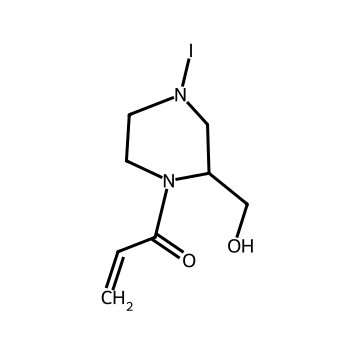 C=CC(=O)N1CCN(I)CC1CO